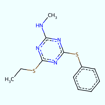 CCSc1nc(NC)nc(Sc2ccccc2)n1